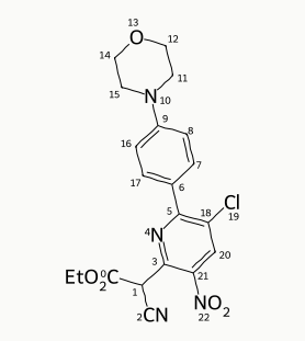 CCOC(=O)C(C#N)c1nc(-c2ccc(N3CCOCC3)cc2)c(Cl)cc1[N+](=O)[O-]